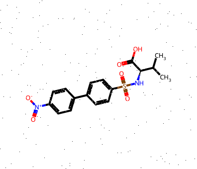 CC(C)[C@@H](NS(=O)(=O)c1ccc(-c2ccc([N+](=O)[O-])cc2)cc1)C(=O)O